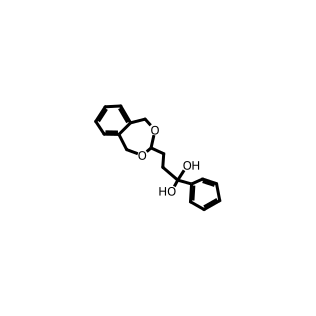 OC(O)(CCC1OCc2ccccc2CO1)c1ccccc1